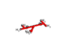 CCCCCC(CCCCC)CCOC(=O)CCCCCCCCC(CCCCCCC(=O)OCCC(CCCCC)CCCCC)OCCCCN(CC)CC